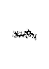 C=C(/C=C\C=C\OC(F)F)C(=O)N(C)C/C=C/C=C(/OC)C(=C)O